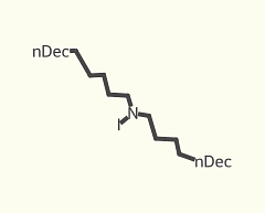 CCCCCCCCCCCCCCCN(I)CCCCCCCCCCCCCC